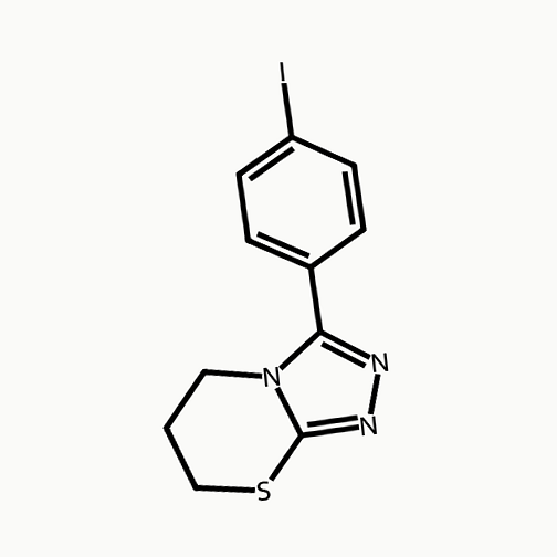 Ic1ccc(-c2nnc3n2CCCS3)cc1